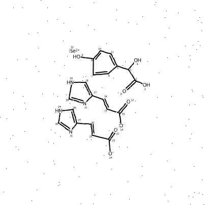 O=C(O)C(O)c1ccc(O)cc1.O=C([O-])C=Cc1c[nH]cn1.O=C([O-])C=Cc1c[nH]cn1.[Se+2]